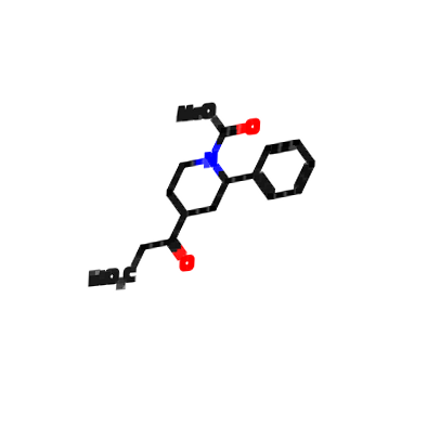 CCOC(=O)CC(=O)C1CCN(C(=O)OC)C(c2ccccc2)C1